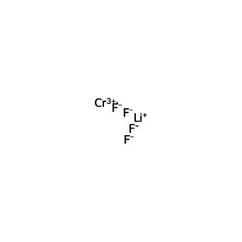 [Cr+3].[F-].[F-].[F-].[F-].[Li+]